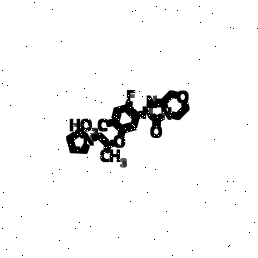 CC(CN1CCCC1)Oc1cc(-n2nc3n(c2=O)CCOC3)c(F)cc1C(=O)O